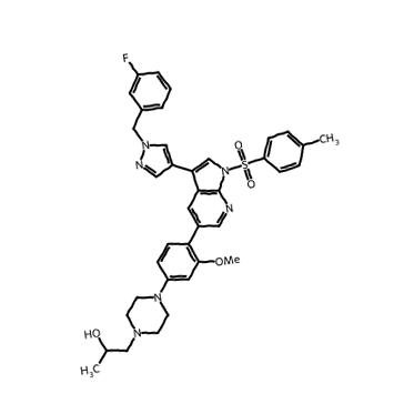 COc1cc(N2CCN(CC(C)O)CC2)ccc1-c1cnc2c(c1)c(-c1cnn(Cc3cccc(F)c3)c1)cn2S(=O)(=O)c1ccc(C)cc1